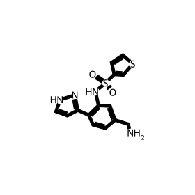 NCc1ccc(-c2cc[nH]n2)c(NS(=O)(=O)c2ccsc2)c1